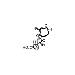 CC(C)C1/C=C/C(=O)NCC/C=C\C(NC(=O)C(NC(=O)NC(C(=O)O)C(C)C)C(C)C)C(=O)N1